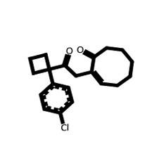 O=C1CCCCCC=C1CC(=O)C1(c2ccc(Cl)cc2)CCC1